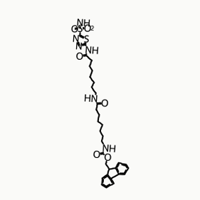 NS(=O)(=O)c1nnc(NC(=O)CCCCCCCNC(=O)CCCCCCCNC(=O)OCC2c3ccccc3-c3ccccc32)s1